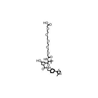 Cc1ncsc1-c1ccc(CNC(=O)C2C[C@@H](O)CN2C(=O)[C@@H](NC(=O)COCCOCCOCCOCCOCC(=O)O)C(C)(C)C)cc1